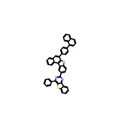 c1ccc(-c2nc(-c3ccc4oc5c(-c6ccc(-c7cccc8ccccc78)cc6)cc6ccccc6c5c4c3)nc3c2sc2ccccc23)cc1